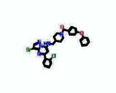 O=C(c1ccc(Oc2ccccc2)cc1)N1CCC(CNc2cc(-c3ccccc3Cl)nc3c(Br)cnn23)CC1